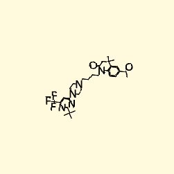 CC(=O)c1ccc2c(c1)C(C)(C)CC(=O)N2CCCCN1CCN(c2cc(C(F)(F)F)nc(C(C)(C)C)n2)CC1